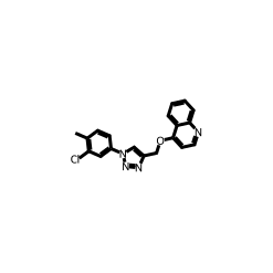 Cc1ccc(-n2cc(COc3ccnc4ccccc34)nn2)cc1Cl